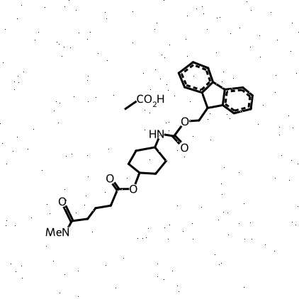 CC(=O)O.CNC(=O)CCCC(=O)OC1CCC(NC(=O)OCC2c3ccccc3-c3ccccc32)CC1